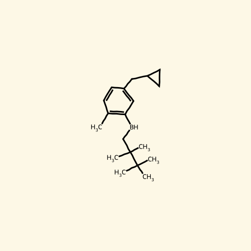 Cc1ccc(CC2CC2)cc1BCC(C)(C)C(C)(C)C